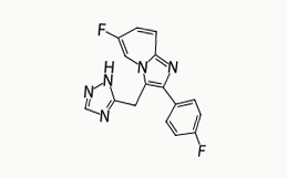 Fc1ccc(-c2nc3ccc(F)cn3c2Cc2ncn[nH]2)cc1